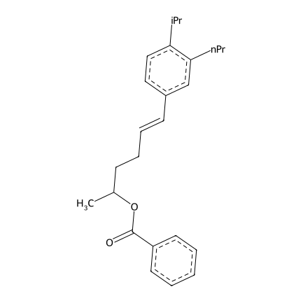 CCCc1cc(C=CCCC(C)OC(=O)c2ccccc2)ccc1C(C)C